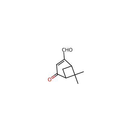 CC1(C)C2CC1C(C=O)=CC2=O